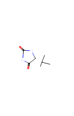 CC(C)(C)[C@H]1NC(=O)NC1=O